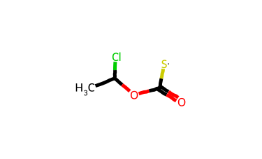 CC(Cl)OC(=O)[S]